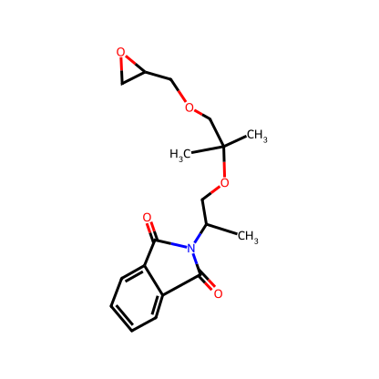 CC(COC(C)(C)COCC1CO1)N1C(=O)c2ccccc2C1=O